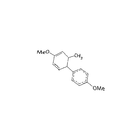 COC1=CC(C)C(c2ccc(OC)cc2)C=C1